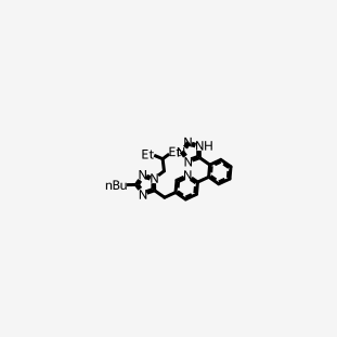 CCCCc1nc(Cc2ccc(-c3ccccc3-c3nnn[nH]3)nc2)n(CC(CC)CC)n1